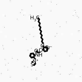 CCCCCCCCCCCCCCOc1ccccc1OCC(=O)Nc1ccccc1C[n+]1ccsc1.[Br-]